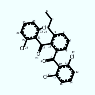 CCCc1cc[c]c(C(=O)c2c(Cl)cccc2Cl)c1C(=O)c1c(Cl)cccc1Cl